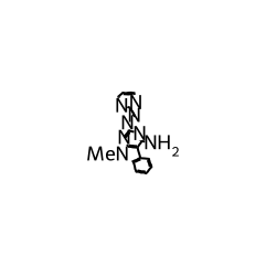 CNc1nc(N=Nc2ncccn2)nc(N)c1-c1ccccc1